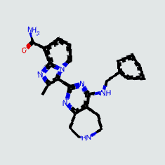 Cc1nc2c(C(N)=O)cccn2c1-c1nc2c(c(NCc3ccccc3)n1)CCNCC2